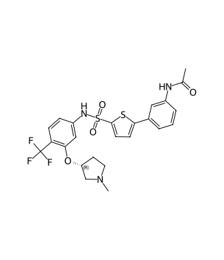 CC(=O)Nc1cccc(-c2ccc(S(=O)(=O)Nc3ccc(C(F)(F)F)c(O[C@@H]4CCN(C)C4)c3)s2)c1